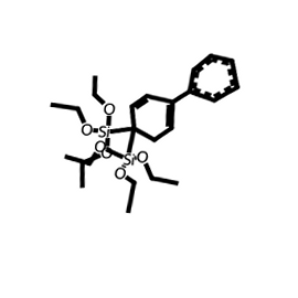 CCO[Si](OCC)(OCC)C1([Si](OCC)(OCC)OCC)C=CC(c2ccccc2)=CC1